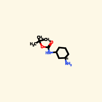 CC(C)(C)OC(=O)NC1CCC[C@@H](N)C1